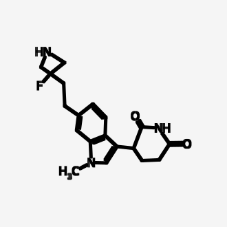 Cn1cc(C2CCC(=O)NC2=O)c2ccc(CCC3(F)CNC3)cc21